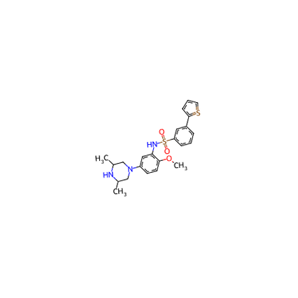 COc1ccc(N2CC(C)NC(C)C2)cc1NS(=O)(=O)c1cccc(-c2cccs2)c1